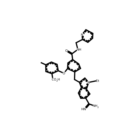 CCn1cc(Cc2ccc(C(=O)NCc3ccccn3)cc2Oc2ccc(C)cc2C(=O)O)c2ccc(C(=N)N)cc21